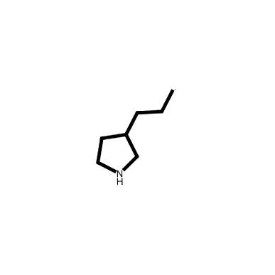 [CH2]CCC1CCNC1